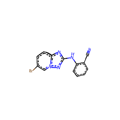 N#Cc1ccccc1Nc1nc2ccc(Br)cn2n1